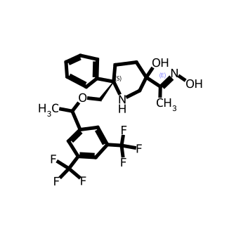 C/C(=N\O)C1(O)CC[C@@](COC(C)c2cc(C(F)(F)F)cc(C(F)(F)F)c2)(c2ccccc2)NC1